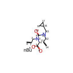 C=CCN(CC(=O)OCCCC)C(=O)N(CC=C)CC1CC1